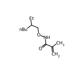 C=C(C)C(=O)NOCC(CC)CCCC